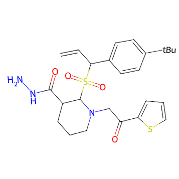 C=CC(c1ccc(C(C)(C)C)cc1)S(=O)(=O)C1C(C(=O)NN)CCCN1CC(=O)c1cccs1